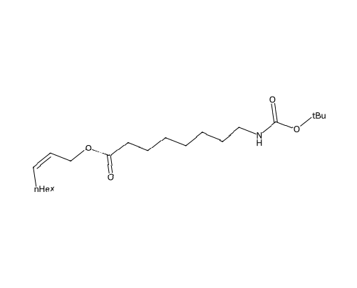 CCCCCC/C=C\COC(=O)CCCCCCCNC(=O)OC(C)(C)C